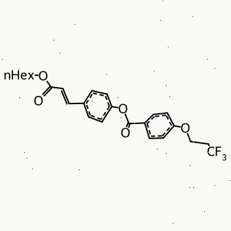 [CH2]CCCCCOC(=O)/C=C/c1ccc(OC(=O)c2ccc(OCCC(F)(F)F)cc2)cc1